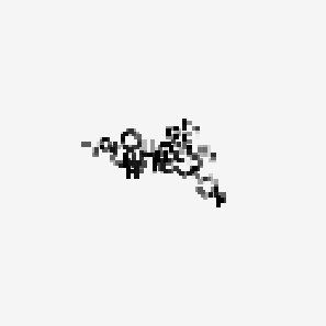 CN1CCN2c3c(cccc31)[C@@H]1C[N+](CCCC(=O)c3ccc(F)cc3)(COC(=O)C(C)(C)C)CC[C@@H]12